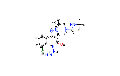 C=C(NC(C)(C)C)N1Cc2c(C(=O)N=NN)c(-c3cccc(Cl)c3)nn2C2(CC2)C1